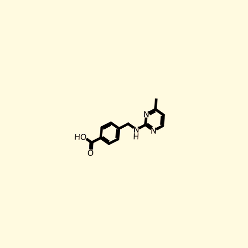 Cc1ccnc(NCc2ccc(C(=O)O)cc2)n1